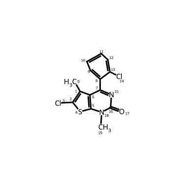 Cc1c(Cl)sc2c1c(-c1ccccc1Cl)nc(=O)n2C